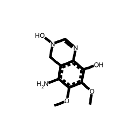 COc1c(N)c2c(c(O)c1OC)N=CN(O)C2